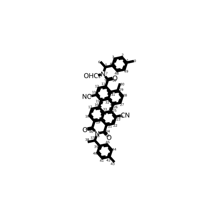 Cc1ccc(C(C)N(C=O)C(=O)c2cc(C#N)c3c4ccc5c6c(cc(C#N)c(c7ccc(C)c2c73)c64)C(=O)N(C(C)c2ccc(C)cc2)C5=O)cc1